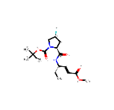 CC[C@@H](/C=C/C(=O)OC)NC(=O)[C@@H]1C[C@H](F)CN1C(=O)OC(C)(C)C